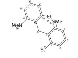 CCc1cccc(NC)c1Cc1c(CC)cccc1NC